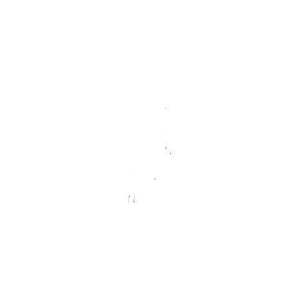 c1csc(-c2ccc(C34CCCN(CC3)C4)cn2)c1